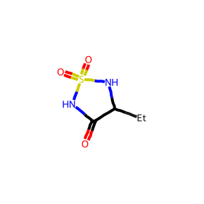 CCC1NS(=O)(=O)NC1=O